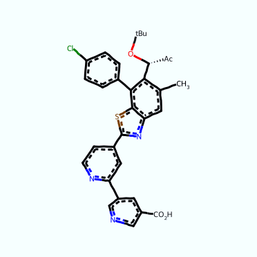 CC(=O)[C@@H](OC(C)(C)C)c1c(C)cc2nc(-c3ccnc(-c4cncc(C(=O)O)c4)c3)sc2c1-c1ccc(Cl)cc1